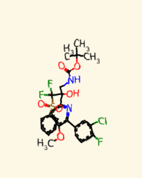 COc1ccc(C(O)(CNC(=O)OC(C)(C)C)C(F)(F)S(=O)(=O)c2ccccc2)nc1-c1ccc(F)c(Cl)c1